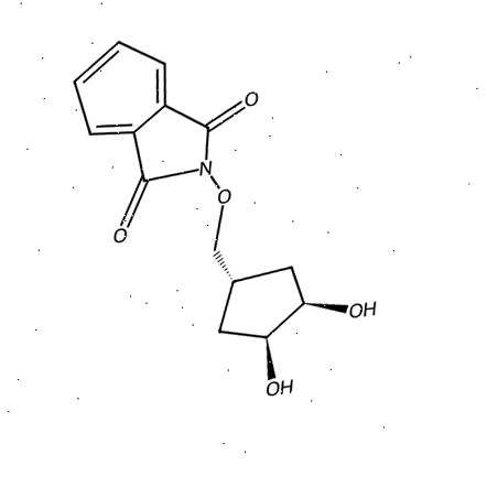 O=C1c2ccccc2C(=O)N1OC[C@@H]1C[C@@H](O)[C@@H](O)C1